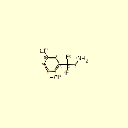 Cl.NCC(F)(F)c1cccc(Cl)c1